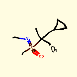 CN=S(C)(=O)C(C)(C#N)C1CC1